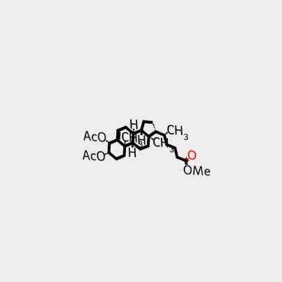 COC(=O)CCC[C@@H](C)[C@H]1CC[C@H]2[C@@H]3CC=C4[C@@H](OC(C)=O)[C@@H](OC(C)=O)CC[C@]4(C)[C@H]3CC[C@]12C